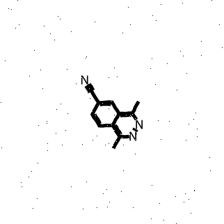 Cc1nnc(C)c2cc(C#N)ccc12